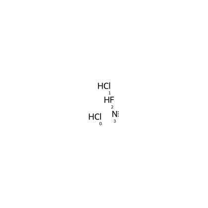 Cl.Cl.F.[N]